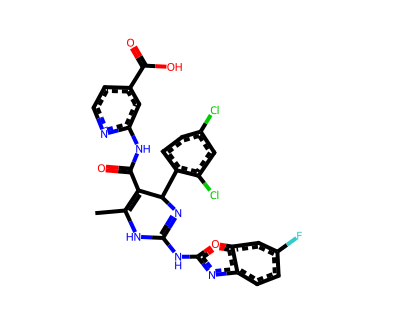 CC1=C(C(=O)Nc2cc(C(=O)O)ccn2)C(c2ccc(Cl)cc2Cl)N=C(Nc2nc3ccc(F)cc3o2)N1